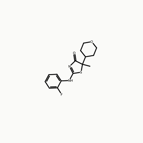 CC1(C2CCOCC2)SC(Nc2ccccc2F)=NC1=O